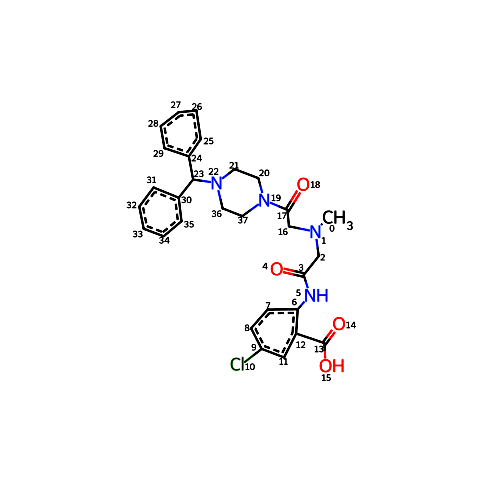 CN(CC(=O)Nc1ccc(Cl)cc1C(=O)O)CC(=O)N1CCN(C(c2ccccc2)c2ccccc2)CC1